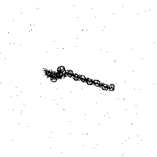 COCCOCCOCCOCCOCCOCCOCCN1CCN(C(=O)c2ccc(C)cc2)CC1=O